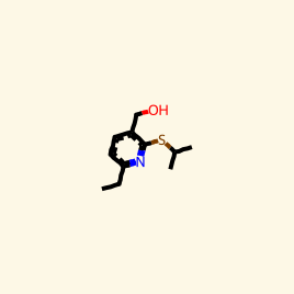 CCc1ccc(CO)c(SC(C)C)n1